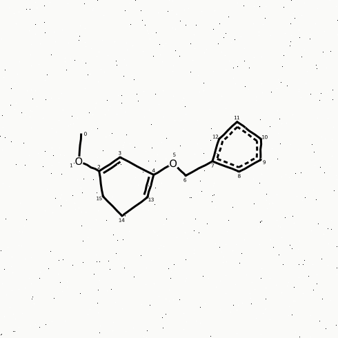 COC1=CC(OCc2ccccc2)=C[CH]C1